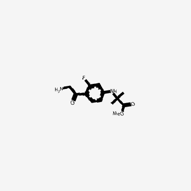 COC(=O)C(C)(C)Nc1ccc(C(=O)CN)c(F)c1